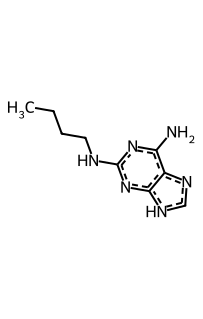 CCCCNc1nc(N)c2nc[nH]c2n1